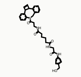 O=C(CCCCC(=O)NCC(=O)Nc1ccc(CO)cc1)NCCC(=O)N1Cc2ccccc2C2C=CC2c2ccccc21